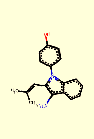 CC(C)=Cc1c(N)c2ccccc2n1-c1ccc(O)cc1